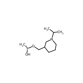 CC(C)N1CCCC(COP(C)O)C1